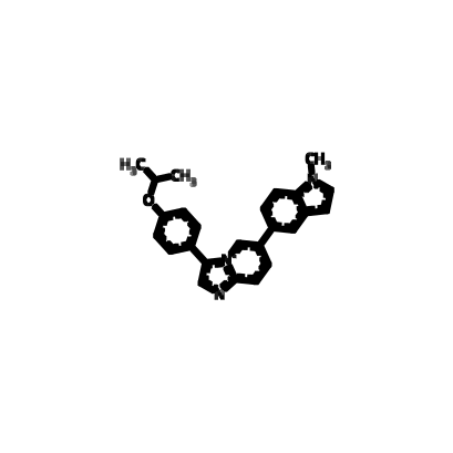 CC(C)Oc1ccc(-c2cnc3ccc(-c4ccc5c(ccn5C)c4)cn23)cc1